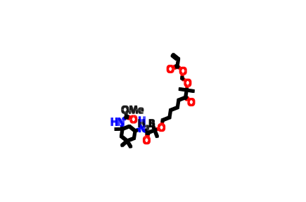 BC(C)(OCCCCCC(=O)C(C)(C)OCOC(=O)C=C)C(=O)NC1CC(C)(C)CC(C)(NC(=O)OC)C1